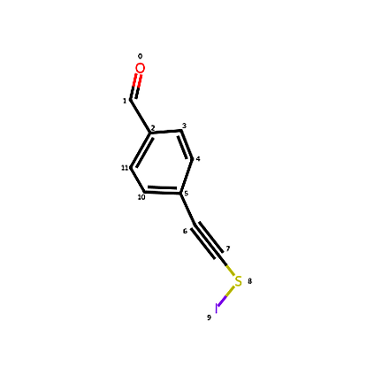 O=Cc1ccc(C#CSI)cc1